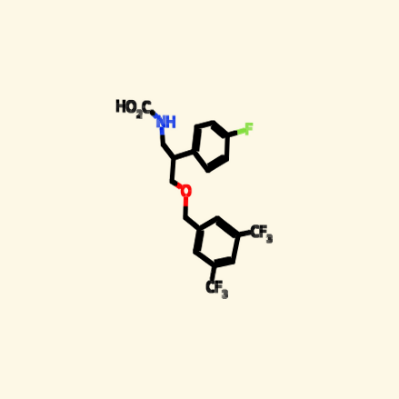 O=C(O)NCC(COCc1cc(C(F)(F)F)cc(C(F)(F)F)c1)c1ccc(F)cc1